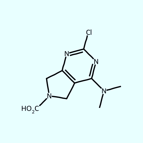 CN(C)c1nc(Cl)nc2c1CN(C(=O)O)C2